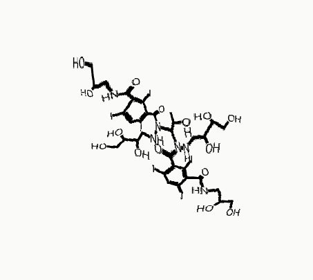 CC(O)C(N(NCC(O)C(O)CO)C(=O)c1c(I)cc(I)c(C(=O)NCC(O)CO)c1I)N(NCC(O)C(O)CO)C(=O)c1c(I)cc(I)c(C(=O)NCC(O)CO)c1I